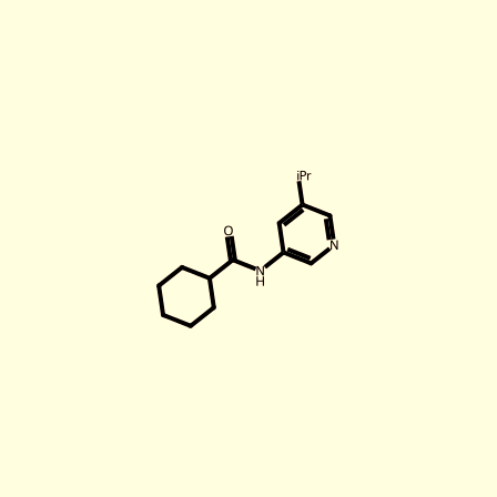 CC(C)c1cncc(NC(=O)C2CCCCC2)c1